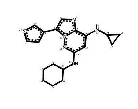 c1cc(-c2cnc3c(NC4CC4)cc(NC4CCCCC4)nn23)cs1